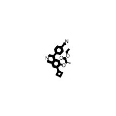 CCOC(=O)[C@@H](C)Oc1cc2c(-c3ccc(C#N)cc3)cncc2cc1C1CCC1